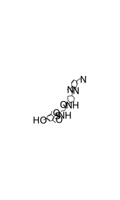 Cc1cc(O)cc(C)c1S(=O)(=O)NCCC(=O)NC1CCC(c2nc3cc(CN(C)C)ccc3n2C)CC1